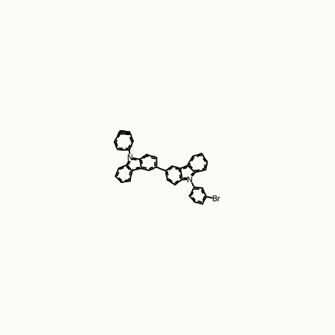 Brc1cccc(-n2c3ccccc3c3cc(-c4ccc5c(c4)c4ccccc4n5-c4cc#ccc4)ccc32)c1